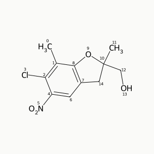 Cc1c(Cl)c([N+](=O)[O-])cc2c1OC(C)(CO)C2